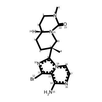 CN1CC[C@H]2CC[C@@](C)(c3nc(Br)c4c(N)nccn34)CN2C1=O